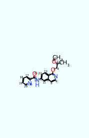 CO[C@@H](C)COc1nccc2cc(NC(=O)c3ccccn3)ccc12